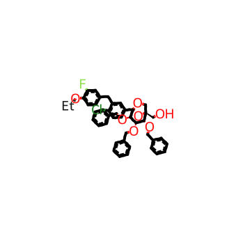 CCOc1ccc(Cc2cc(C34OC[C@@](CO)(O3)[C@@H](OCc3ccccc3)[C@H](OCc3ccccc3)[C@H]4OCc3ccccc3)ccc2Cl)cc1F